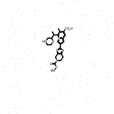 Cc1c(C(=O)O)cc2cc(-c3nc4c(s3)CN(C(=O)OC(C)(C)C)CC4)cn2c1C(C)C1CNCCO1